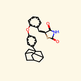 O=C1NC(=O)/C(=C\c2ccccc2Oc2ccc(C34CC5CC(CC(C5)C3)C4)cc2)S1